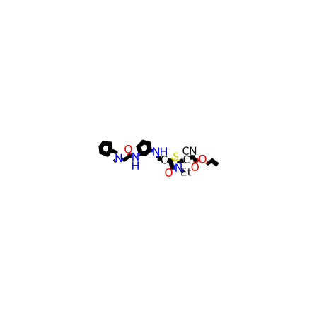 C=CCOC(=O)C(=C=c1sc(=C=CNc2cccc(NC(=O)CN(C)Cc3ccccc3)c2)c(=O)n1CC)C#N